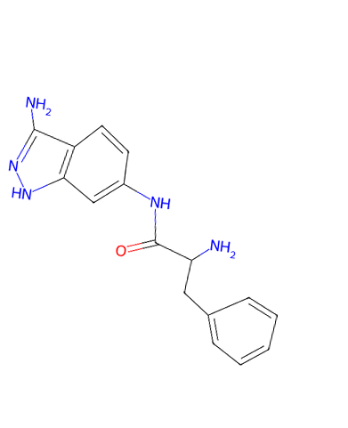 Nc1n[nH]c2cc(NC(=O)C(N)Cc3ccccc3)ccc12